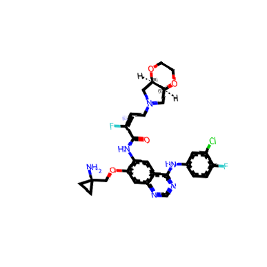 NC1(COc2cc3ncnc(Nc4ccc(F)c(Cl)c4)c3cc2NC(=O)/C(F)=C\CN2C[C@@H]3OCCO[C@@H]3C2)CC1